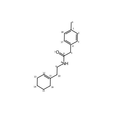 Cc1ccc(CC(=O)NCCC2=CCCCC2)cc1